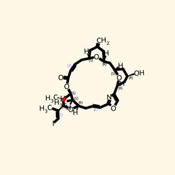 C=C1C[C@@H]2C[C@@H]3C[C@@H](O)C[C@@H](O3)c3coc(n3)/C=C/C[C@H]3O[C@@H](/C(C)=C/I)[C@H](C)[C@@H](OC(=O)/C=C\C[C@@H](C1)O2)[C@H]3C